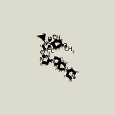 COc1cc(C)c(S(=O)(=O)N(CCOc2nccc(N3CCC4(CCN(c5ccncc5)CC4)C3)n2)C2CC2)c(C)c1